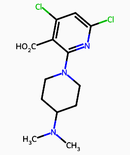 CN(C)C1CCN(c2nc(Cl)cc(Cl)c2C(=O)O)CC1